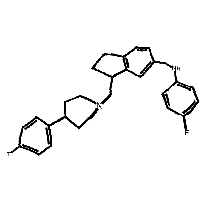 Fc1ccc(Nc2ccc3c(c2)C(CN2CCC(c4ccc(F)cc4)CC2)CC3)cc1